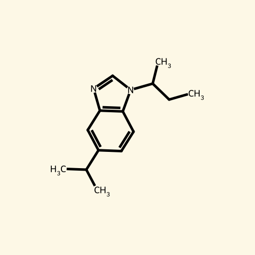 CCC(C)n1cnc2cc(C(C)C)ccc21